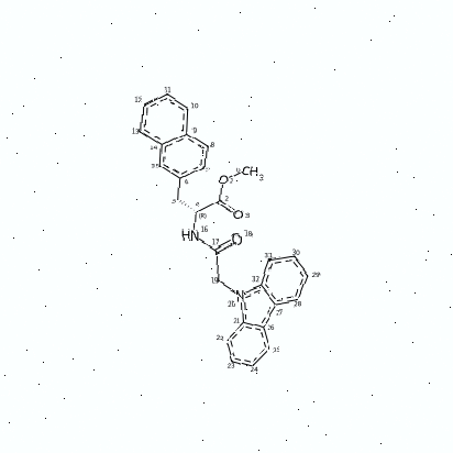 COC(=O)[C@@H](Cc1ccc2ccccc2c1)NC(=O)Cn1c2ccccc2c2ccccc21